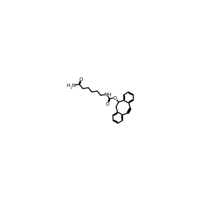 NC(=O)CCCCCNC(=O)OC1Cc2ccccc2C#Cc2ccccc21